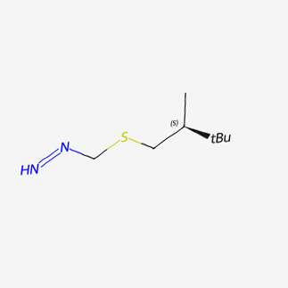 C[C@H](CSCN=N)C(C)(C)C